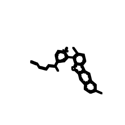 C=C/C=C\C=C(/C)c1cc[n+](C)c(-c2c(C)ccc3c2oc2cc4ccc(C)cc4cc23)c1